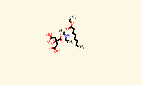 CCCCCCCC(=O)OCC.CCNCC.O=C(O)CC(O)(CC(=O)O)C(=O)O